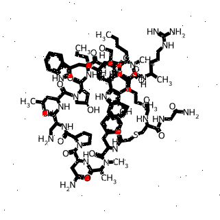 CCCCC(C(=O)N(C)C(CCCC)C(=O)NC(C)CCCNC(=N)N)N(C)C(=O)C(Cc1c(-c2cccc(OCCC)c2)[nH]c2ccccc12)NC(=O)C(CO)NC(=O)C(Cc1c[nH]c2ccccc12)NC(=O)C1C[C@@H](O)CN1C(=O)C(CC(C)C)NC(=O)C(CN)NC(=O)C1CCCN1C(=O)C(CC(N)=O)NC(=O)C(C)N(C)C(=O)C(Cc1ccc(O)cc1)NC(=O)CSCC(NC=O)C(=O)NCC(N)=O